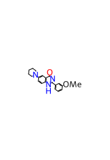 COc1cccc(-c2nc(=O)c3cc(N4CCCCC4)ccc3[nH]2)c1